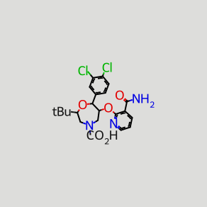 CC(C)(C)C1CN(C(=O)O)CC(Oc2ncccc2C(N)=O)C(c2ccc(Cl)c(Cl)c2)O1